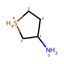 NC1CC[SH4]C1